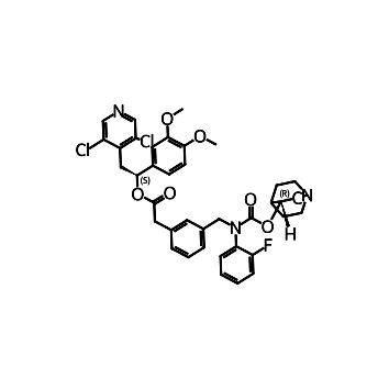 COc1ccc([C@H](Cc2c(Cl)cncc2Cl)OC(=O)Cc2cccc(CN(C(=O)O[C@H]3CN4CCC3CC4)c3ccccc3F)c2)cc1OC